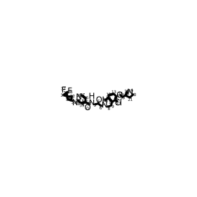 O=C(NCC(O)CN1CCc2c(ccc(OCC3=CN=CC3)c2Cl)C1)c1ccnc(NC2CC3(C2)CC3(F)F)c1